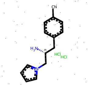 Cl.Cl.N#Cc1ccc(C[C@@H](N)Cn2cccc2)cc1